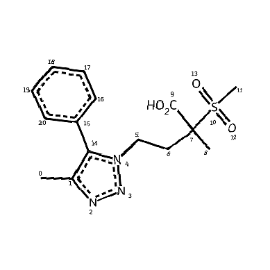 Cc1nnn(CCC(C)(C(=O)O)S(C)(=O)=O)c1-c1ccccc1